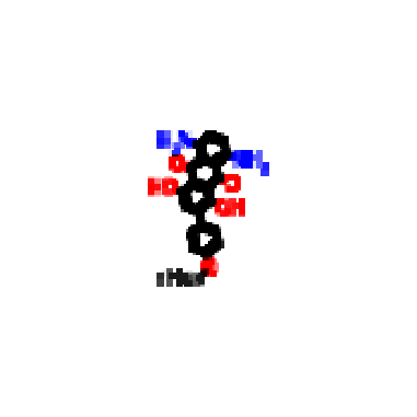 CCCCCCOc1ccc(-c2cc(O)c3c(c2O)C(=O)c2c(N)ccc(N)c2C3=O)cc1